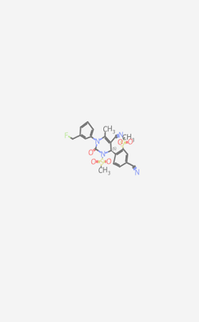 CC1=C(C#N)[C@@H](c2ccc(C#N)cc2S(C)(=O)=O)N(S(C)(=O)=O)C(=O)N1c1cccc(CF)c1